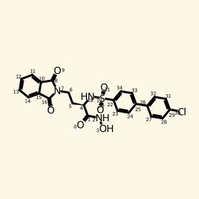 O=C(NO)[C@@H](CCN1C(=O)c2ccccc2C1=O)NS(=O)(=O)c1ccc(-c2ccc(Cl)cc2)cc1